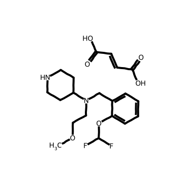 COCCN(Cc1ccccc1OC(F)F)C1CCNCC1.O=C(O)/C=C/C(=O)O